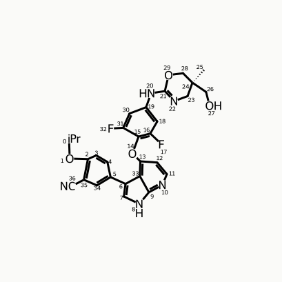 CC(C)Oc1ccc(-c2c[nH]c3nccc(Oc4c(F)cc(NC5=NC[C@](C)(CO)CO5)cc4F)c23)cc1C#N